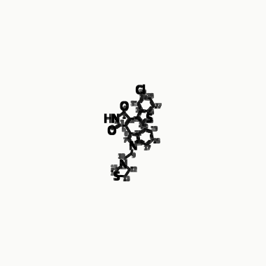 O=C1NC(=O)C(c2cn(CCN3CCSC3)c3ccccc23)=C1c1csc2ccc(Cl)cc12